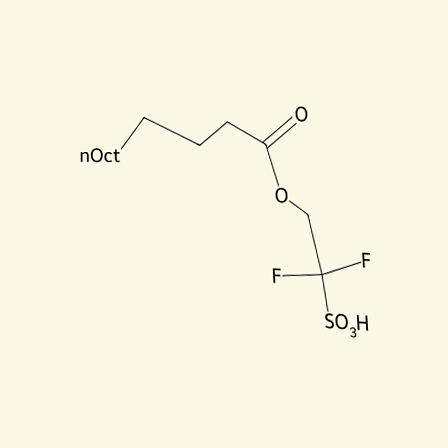 CCCCCCCCCCCC(=O)OCC(F)(F)S(=O)(=O)O